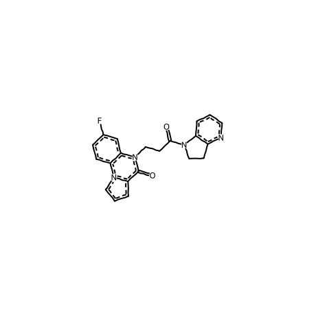 O=C(CCn1c(=O)c2cccn2c2ccc(F)cc21)N1CCc2ncccc21